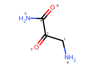 NCC(=O)C(N)=O